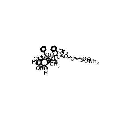 CC(=O)O[C@@]12CO[C@@H]1C[C@H](O)[C@@]1(C)C(=O)[C@H](O)C3=C(C)[C@@H](OC(=O)[C@H](OC(=O)COCCOCCCSOOON)[C@@H](C)c4ccccc4)C[C@](O)([C@@H](OC(=O)c4ccccc4)[C@H]21)C3(C)C